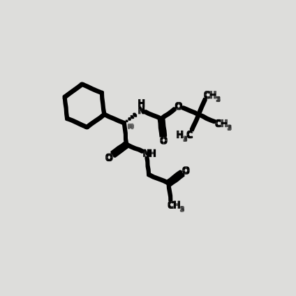 CC(=O)CNC(=O)[C@@H](NC(=O)OC(C)(C)C)C1CCCCC1